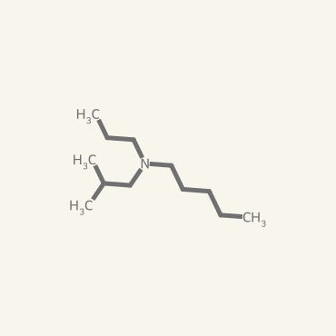 CCCCCN(CCC)CC(C)C